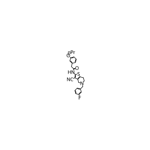 CCCOc1cccc(CC(=O)Nc2sc3c(c2C#N)CN(Cc2cccc(F)c2)CC3)c1